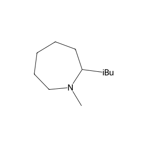 CCC(C)C1CCCCCN1C